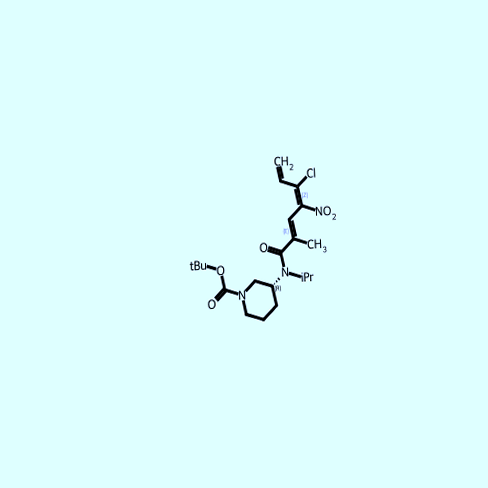 C=C/C(Cl)=C(\C=C(/C)C(=O)N(C(C)C)[C@@H]1CCCN(C(=O)OC(C)(C)C)C1)[N+](=O)[O-]